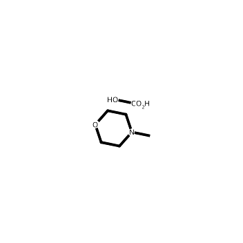 CN1CCOCC1.O=C(O)O